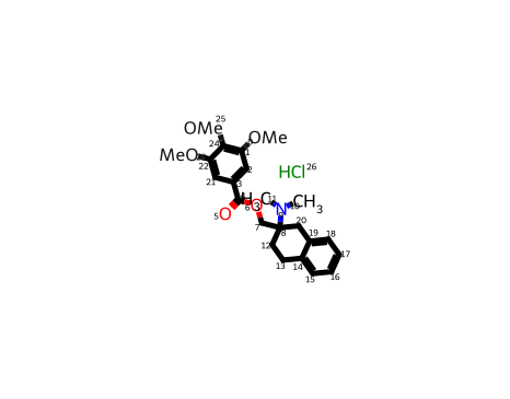 COc1cc(C(=O)OCC2(N(C)C)CCc3ccccc3C2)cc(OC)c1OC.Cl